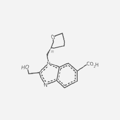 O=C(O)c1ccc2nc(CO)n(C[C@@H]3CCO3)c2c1